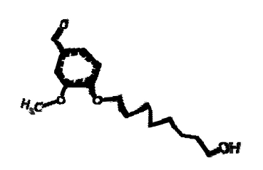 COc1cc(C=O)ccc1OCCCCCCCCO